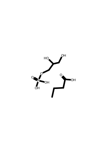 CCCC(=O)O.O=P(O)(O)OCC(O)CO